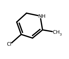 CC1=CC(Cl)=CCN1